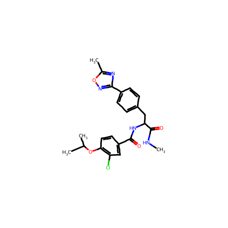 CNC(=O)C(Cc1ccc(-c2noc(C)n2)cc1)NC(=O)c1ccc(OC(C)C)c(Cl)c1